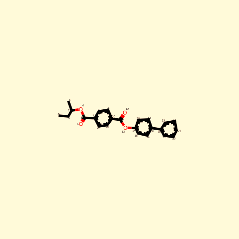 CCC(C)OC(=O)c1ccc(C(=O)Oc2ccc(-c3ccccc3)cc2)cc1